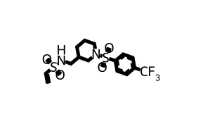 C=CS(=O)(=O)NCC1CCCN(S(=O)(=O)c2ccc(C(F)(F)F)cc2)C1